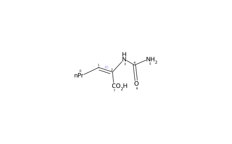 CCC/C=C(/NC(N)=O)C(=O)O